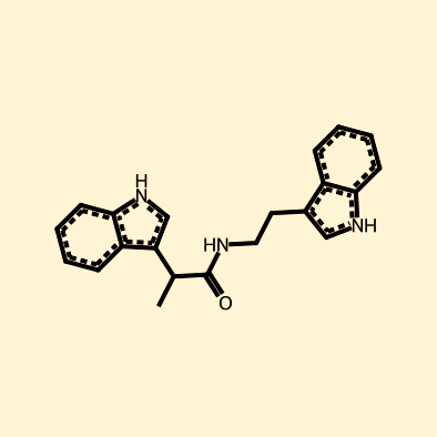 CC(C(=O)NCCc1c[nH]c2ccccc12)c1c[nH]c2ccccc12